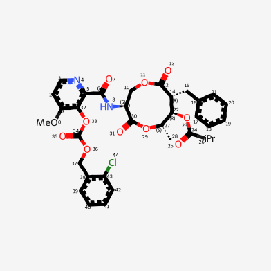 COc1ccnc(C(=O)N[C@H]2COC(=O)[C@H](Cc3ccccc3)[C@@H](OC(=O)C(C)C)[C@H](C)OC2=O)c1OC(=O)OCc1ccccc1Cl